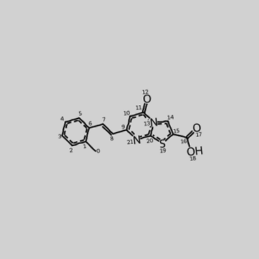 Cc1ccccc1/C=C/c1cc(=O)n2cc(C(=O)O)sc2n1